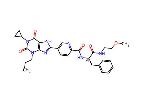 CCCn1c(=O)n(C2CC2)c(=O)c2[nH]c(-c3ccc(C(=O)N[C@H](Cc4ccccc4)C(=O)NCCOC)nc3)nc21